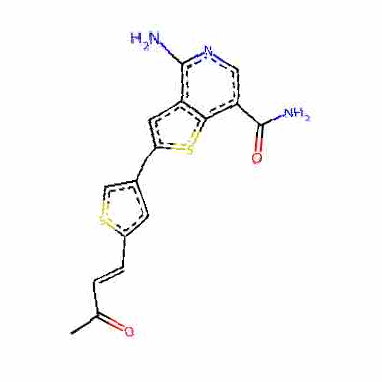 CC(=O)/C=C/c1cc(-c2cc3c(N)ncc(C(N)=O)c3s2)cs1